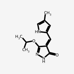 Cc1c[nH]c(/C=C2/C(=O)NN=C2OC(C)C)c1